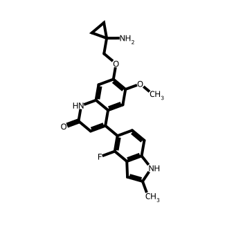 COc1cc2c(-c3ccc4[nH]c(C)cc4c3F)cc(=O)[nH]c2cc1OCC1(N)CC1